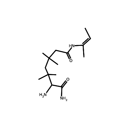 CC=C(C)NC(=O)CC(C)(C)CC(C)(C)C(N)C(N)=O